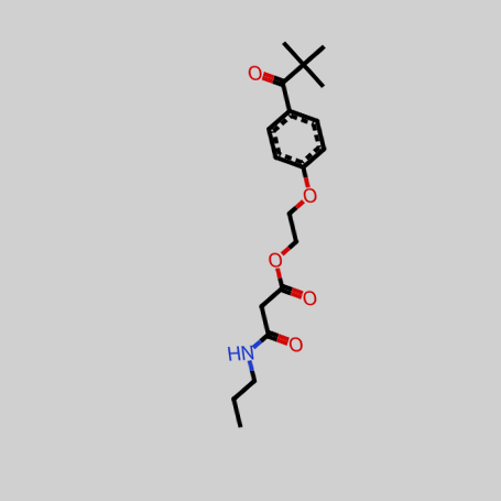 CCCNC(=O)CC(=O)OCCOc1ccc(C(=O)C(C)(C)C)cc1